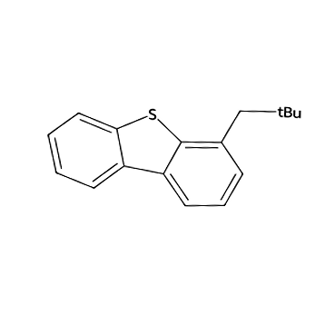 CC(C)(C)Cc1cccc2c1sc1ccccc12